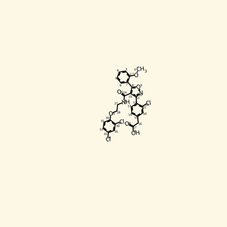 COc1ccccc1-c1onc(-c2ccc(CC(=O)O)cc2Cl)c1C(=O)NCCOc1ccc(Cl)cc1Cl